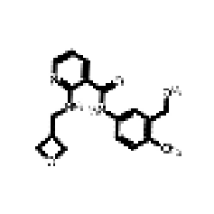 O=C(Nc1ccc(C(F)(F)F)c(CO)c1)c1cccnc1NCC1COC1